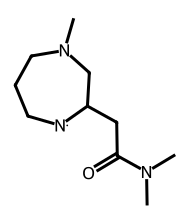 CN1CCC[N]C(CC(=O)N(C)C)C1